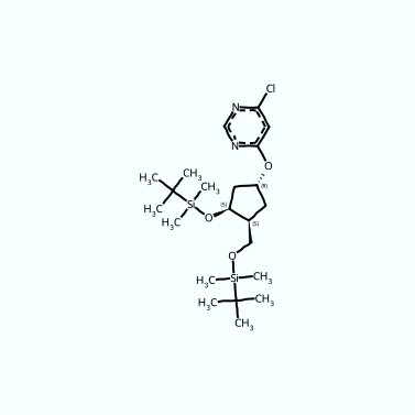 CC(C)(C)[Si](C)(C)OC[C@@H]1C[C@@H](Oc2cc(Cl)ncn2)C[C@@H]1O[Si](C)(C)C(C)(C)C